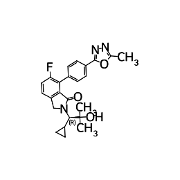 Cc1nnc(-c2ccc(-c3c(F)ccc4c3C(=O)N([C@H](C3CC3)C(C)(C)O)C4)cc2)o1